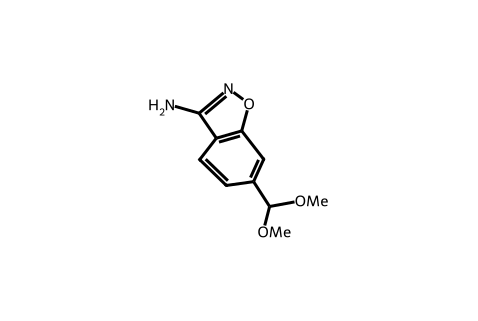 COC(OC)c1ccc2c(N)noc2c1